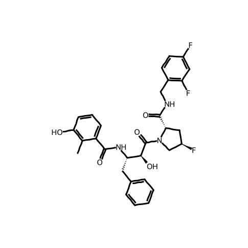 Cc1c(O)cccc1C(=O)N[C@@H](Cc1ccccc1)[C@H](O)C(=O)N1C[C@H](F)C[C@H]1C(=O)NCc1ccc(F)cc1F